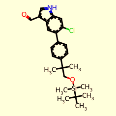 CC(C)(CO[Si](C)(C)C(C)(C)C)c1ccc(-c2cc3c(C=O)c[nH]c3cc2Cl)cc1